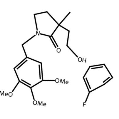 COc1cc(CN2CCC(C)(CCO)C2=O)cc(OC)c1OC.Fc1ccccc1